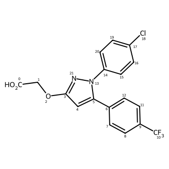 O=C(O)COc1cc(-c2ccc(C(F)(F)F)cc2)n(-c2ccc(Cl)cc2)n1